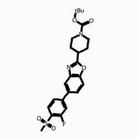 CC(C)(C)OC(=O)N1CCC(c2nc3cc(-c4ccc(S(C)(=O)=O)c(F)c4)ccc3o2)CC1